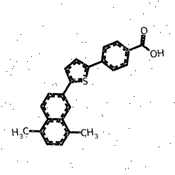 Cc1ccc(C)c2cc(-c3ccc(-c4ccc(C(=O)O)cc4)s3)ccc12